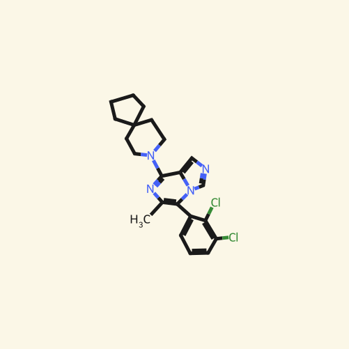 Cc1nc(N2CCC3(CCCC3)CC2)c2cncn2c1-c1cccc(Cl)c1Cl